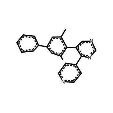 Cc1cc(-c2ccccc2)cc(C)c1-c1cncnc1-c1ccncc1